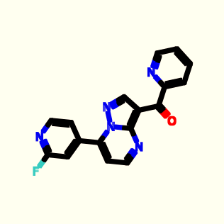 O=C(c1ccccn1)c1cnn2c(-c3ccnc(F)c3)ccnc12